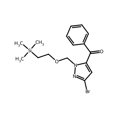 C[Si](C)(C)CCOCn1nc(Br)cc1C(=O)c1ccccc1